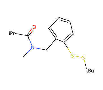 CC(C)C(=O)N(C)Cc1ccccc1SSC(C)(C)C